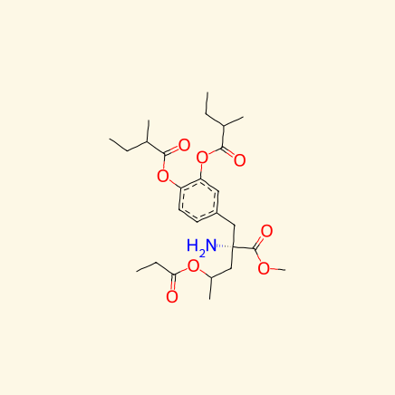 CCC(=O)OC(C)C[C@@](N)(Cc1ccc(OC(=O)C(C)CC)c(OC(=O)C(C)CC)c1)C(=O)OC